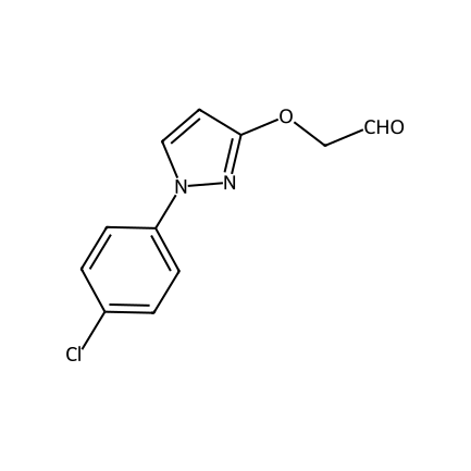 O=CCOc1ccn(-c2ccc(Cl)cc2)n1